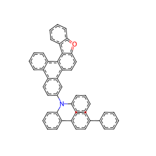 c1ccc(-c2ccc(-c3ccccc3N(c3ccccc3)c3ccc4c5ccccc5c5c(ccc6oc7ccccc7c65)c4c3)cc2)cc1